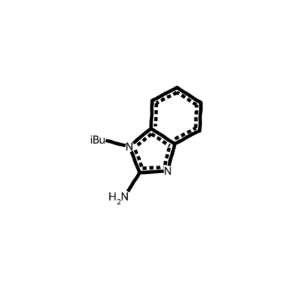 CCC(C)n1c(N)nc2ccccc21